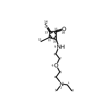 CCN(C)CCOCCNc1c(C)c(=S)c1=O